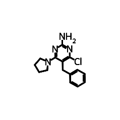 Nc1nc(Cl)c(Cc2ccccc2)c(N2CCCC2)n1